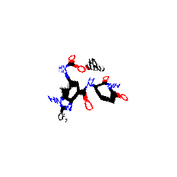 CC(C)(C)OC(=O)Nc1cc(C(=O)NC2CCC(=O)NC2=O)c2nc(C(F)(F)F)[nH]c2c1